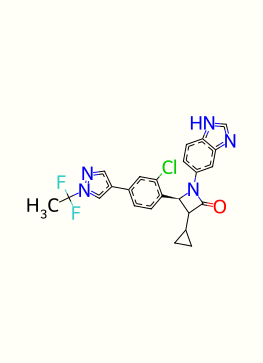 CC(F)(F)n1cc(-c2ccc([C@@H]3C(C4CC4)C(=O)N3c3ccc4[nH]cnc4c3)c(Cl)c2)cn1